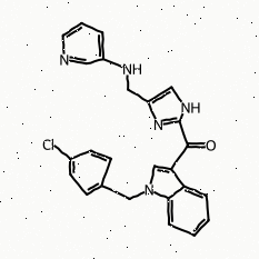 O=C(c1nc(CNc2cccnc2)c[nH]1)c1cn(Cc2ccc(Cl)cc2)c2ccccc12